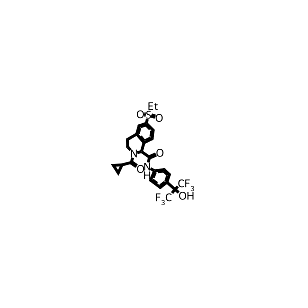 CCS(=O)(=O)c1ccc2c(c1)CCN(C(=O)C1CC1)C2C(=O)Nc1ccc(C(O)(C(F)(F)F)C(F)(F)F)cc1